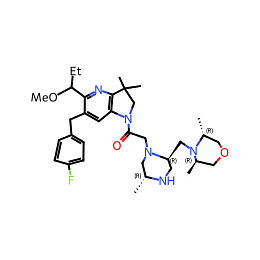 CCC(OC)c1nc2c(cc1Cc1ccc(F)cc1)N(C(=O)CN1C[C@@H](C)NC[C@@H]1CN1[C@H](C)COC[C@H]1C)CC2(C)C